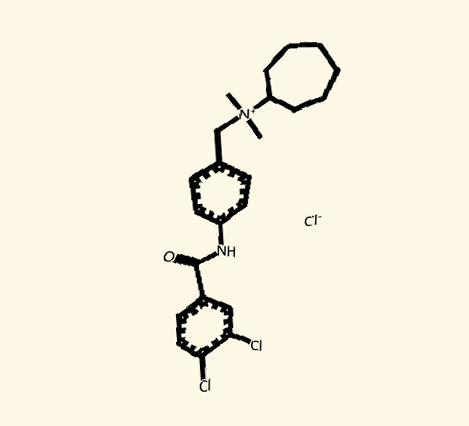 C[N+](C)(Cc1ccc(NC(=O)c2ccc(Cl)c(Cl)c2)cc1)C1CCCCCC1.[Cl-]